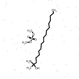 CCCCCCCCCCCCCCCCC(C)(N)O.COS(=O)(=O)OC